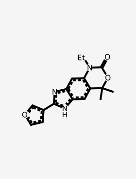 CCN1C(=O)OC(C)(C)c2cc3[nH]c(-c4ccoc4)nc3cc21